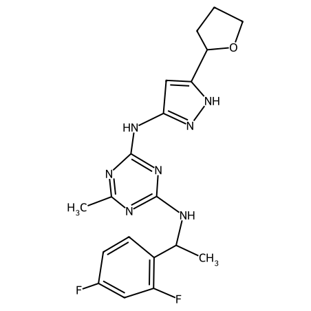 Cc1nc(Nc2cc(C3CCCO3)[nH]n2)nc(NC(C)c2ccc(F)cc2F)n1